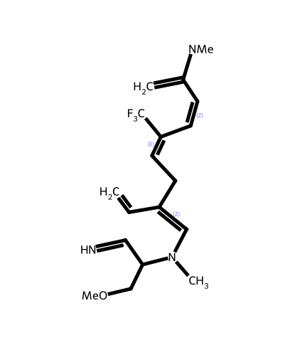 C=C/C(=C\N(C)C(C=N)COC)C/C=C(\C=C/C(=C)NC)C(F)(F)F